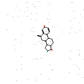 C=C1C[C@@H]2[C@H](CC[C@]3(C)C(=O)C(F)C[C@@H]23)[C@@]2(C)C=CC(=O)C=C12